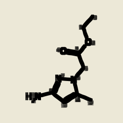 CCOC(=O)Cn1nc(N)cc1C